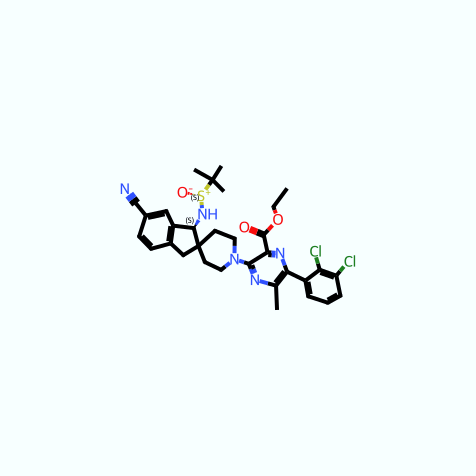 CCOC(=O)c1nc(-c2cccc(Cl)c2Cl)c(C)nc1N1CCC2(CC1)Cc1ccc(C#N)cc1[C@H]2N[S@+]([O-])C(C)(C)C